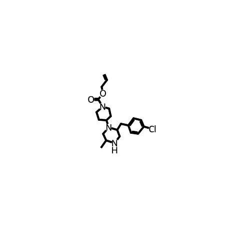 C=CCOC(=O)N1CCC(N2CC(C)NCC2Cc2ccc(Cl)cc2)CC1